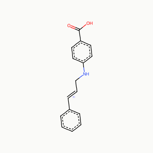 O=C(O)c1ccc(NC/C=C/c2ccccc2)cc1